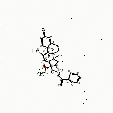 C=C(COC1C[C@H]2[C@@H]3CCC4=CC(=O)C=C[C@]4(C)[C@@]3(F)C(O)C[C@]2(C)[C@@]1(O)C(=O)CCl)c1ccccc1